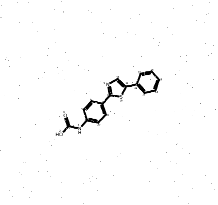 O=C(O)Nc1ccc(-c2ncc(-c3ccccc3)s2)cc1